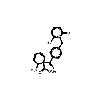 CCCCc1cccc(=O)n1Cc1ccc(C(=O)C2(C(=O)OC)C=CC=CC2N)cc1